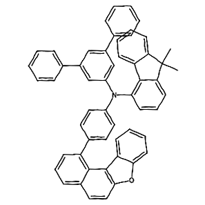 CC1(C)c2ccccc2-c2c(N(c3ccc(-c4cccc5ccc6oc7ccccc7c6c45)cc3)c3cc(-c4ccccc4)cc(-c4ccccc4)c3)cccc21